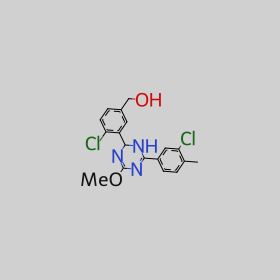 COC1=NC(c2cc(CO)ccc2Cl)NC(c2ccc(C)c(Cl)c2)=N1